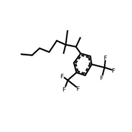 CCCCCC(C)(C)C(C)c1cc(C(F)(F)F)cc(C(F)(F)F)c1